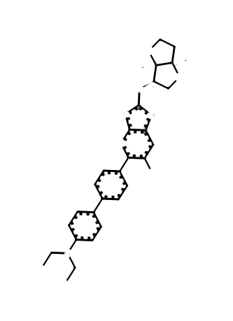 CCN(CC)c1ccc(-c2ccc(-c3nc4nc(O[C@@H]5CO[C@@H]6CCO[C@@H]65)[nH]c4cc3Cl)cc2)cc1